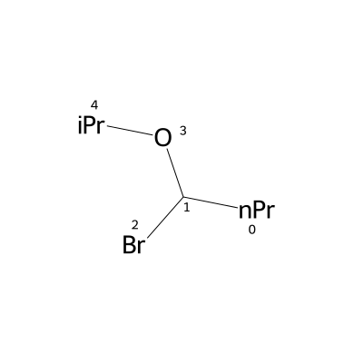 CCCC(Br)OC(C)C